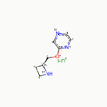 Cl.c1cnc(OC[C@@H]2CCN2)cn1